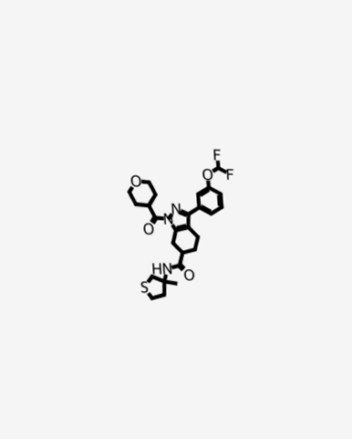 CC1(NC(=O)C2CCc3c(-c4cccc(OC(F)F)c4)nn(C(=O)C4CCOCC4)c3C2)CCSC1